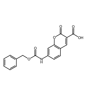 O=C(Nc1ccc2cc(C(=O)O)c(=O)oc2c1)OCc1ccccc1